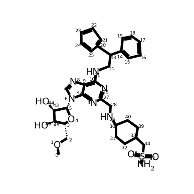 COC[C@H]1O[C@@H](n2cnc3c(NCC(c4ccccc4)c4ccccc4)nc(CNC4CCC(CS(N)(=O)=O)CC4)nc32)[C@H](O)[C@@H]1O